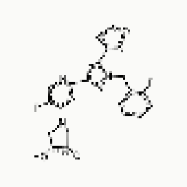 O[C@@H]1CN(c2nc(-c3cc(-c4ccon4)n(Cc4ccccc4F)n3)ncc2F)C[C@H]1O